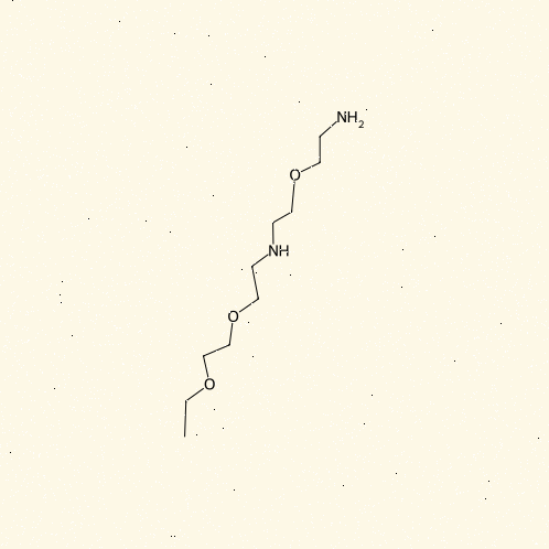 CCOCCOCCNCCOCCN